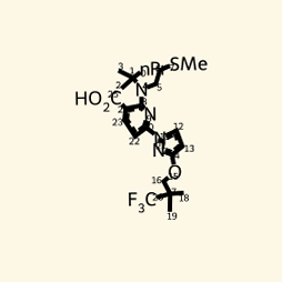 CCCC(C)(C)N(CCSC)c1nc(-n2ccc(OCC(C)(C)C(F)(F)F)n2)ccc1C(=O)O